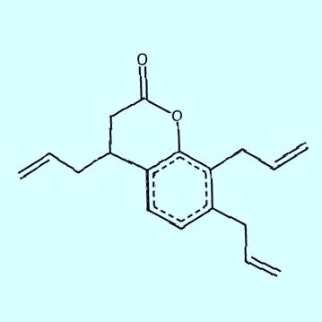 C=CCc1ccc2c(c1CC=C)OC(=O)CC2CC=C